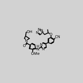 COc1cc(C(=O)N2CC(CO)C2)ccc1Nc1ncc(-c2ccc(C#N)c(OC(C)Cn3cnnn3)c2)cn1